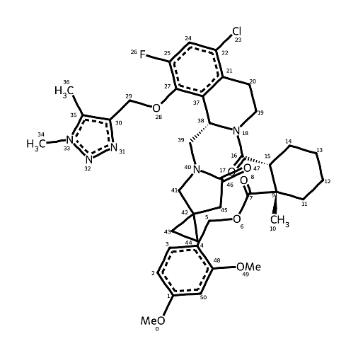 COc1ccc(COC(=O)[C@@]2(C)CCCC[C@H]2C(=O)N2CCc3c(Cl)cc(F)c(OCc4nnn(C)c4C)c3[C@H]2CN2CC3(CC3)CC2=O)c(OC)c1